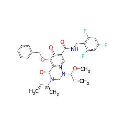 C=CC(OC)N1CN([C@@H](C)C=C)C(=O)c2c(OCc3ccccc3)c(=O)c(C(=O)NCc3c(F)cc(F)cc3F)cn21